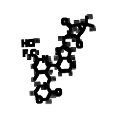 Cc1cc(C(F)(F)F)nc(-c2ccnc3cc(CN4C(=O)C5C(C4=O)C5(C)C)sc23)c1CN1CCOCC1=O.Cl